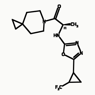 C[C@@H](Nc1nnc(C2CC2C(F)(F)F)o1)C(=O)N1CCC2(CC1)CC2